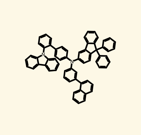 c1ccc(C2(c3ccccc3)c3ccccc3-c3cc(N(c4ccc(-c5ccccc5-n5c6ccccc6c6ccccc65)cc4)c4cccc(-c5cccc6ccccc56)c4)ccc32)cc1